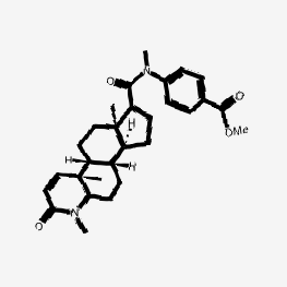 COC(=O)c1ccc(N(C)C(=O)C2CC[C@H]3[C@@H]4CCC5N(C)C(=O)C=C[C@]5(C)[C@@H]4CC[C@]23C)cc1